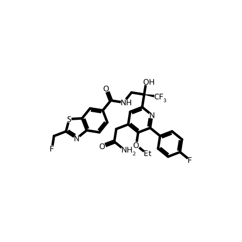 CCOc1c(CC(N)=O)cc([C@@](O)(CNC(=O)c2ccc3nc(CF)sc3c2)C(F)(F)F)nc1-c1ccc(F)cc1